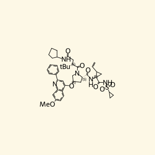 C=CC1C[C@]1(NC(=O)[C@@H]1C[C@@H](Oc2cc(-c3ccccc3)nc3cc(OC)ccc23)CN1C(=O)[C@@H](CC(=O)NC1CCCC1)C(C)(C)C)C(=O)NS(=O)(=O)C1CC1